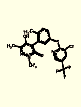 Cc1ccc(Sc2ncc(C(F)(F)F)cc2Cl)cc1-c1c(O)c(C)nn(C)c1=O